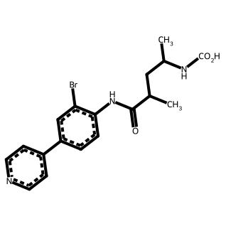 CC(CC(C)C(=O)Nc1ccc(-c2ccncc2)cc1Br)NC(=O)O